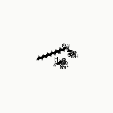 CCCCCCCCCCCCCC(=O)N(C)CCS(=O)(=O)O.CNCCS(=O)(=O)[O-].[Na+]